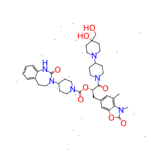 Cc1cc(C[C@@H](OC(=O)N2CCC(N3CCc4ccccc4NC3=O)CC2)C(=O)N2CCC(N3CCC(O)(CO)CC3)CC2)cc2oc(=O)n(C)c12